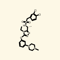 CCn1c(Oc2cccc(N3CCN(C)CC3)c2)nnc1[C@@H](C)NS(=O)(=O)Cc1ccc(Cl)c(Cl)c1